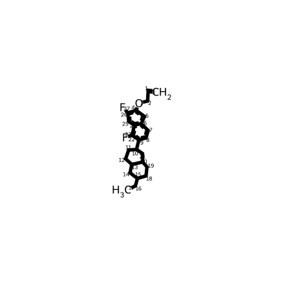 C=CCOc1cc2ccc(C3CCC4CC(CC)CCC4C3)c(F)c2cc1F